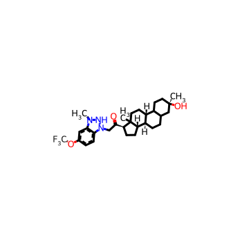 CN1NN(CC(=O)[C@@H]2CC[C@H]3[C@@H]4CCC5C[C@](C)(O)CCC5[C@H]4CCC23C)c2ccc(OC(F)(F)F)cc21